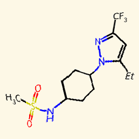 CCc1cc(C(F)(F)F)nn1C1CCC(NS(C)(=O)=O)CC1